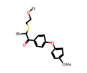 CCOCCSC(C(=O)c1ccc(Oc2ccc(OC)cc2)cc1)C(C)(C)C